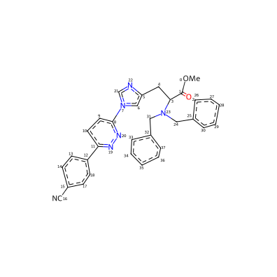 COC(=O)C(Cc1cn(-c2ccc(-c3ccc(C#N)cc3)nn2)cn1)N(Cc1ccccc1)Cc1ccccc1